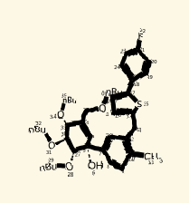 CCCCOCC1=C[C@@](O)(c2ccc(C)c(Cc3ccc(-c4ccc(F)cc4)s3)c2)[C@H](OCCCC)[C@@H](OCCCC)[C@@H]1OCCCC